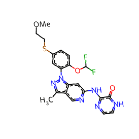 COCCSc1ccc(OC(F)F)c(-n2nc(C)c3cnc(Nc4ncc[nH]c4=O)cc32)c1